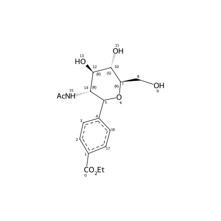 CCOC(=O)c1ccc(C2O[C@H](CO)[C@@H](O)[C@H](O)[C@H]2NC(C)=O)cc1